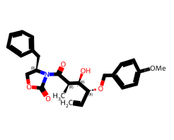 C=C[C@@H](OCc1ccc(OC)cc1)[C@H](O)[C@@H](C)C(=O)N1C(=O)OC[C@H]1Cc1ccccc1